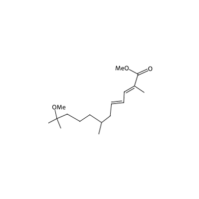 COC(=O)C(C)=CC=CCC(C)CCCC(C)(C)OC